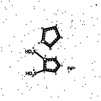 O=S(=O)(O)c1ccc[c-]1S(=O)(=O)O.[Fe+2].c1cc[cH-]c1